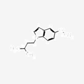 COc1ccc2c(ccn2CCC(C)C)c1